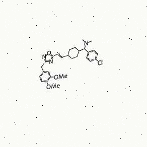 COc1ccc(Cc2noc(C=CC3CCC(C(c4ccc(Cl)cc4)N(C)C)CC3)n2)cc1OC